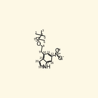 CC(C)(C)[Si](C)(C)OCCc1cc([N+](=O)[O-])cc2[nH]ccc12